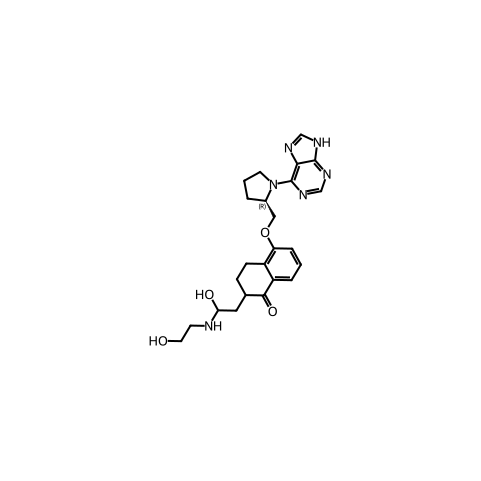 O=C1c2cccc(OC[C@H]3CCCN3c3ncnc4[nH]cnc34)c2CCC1CC(O)NCCO